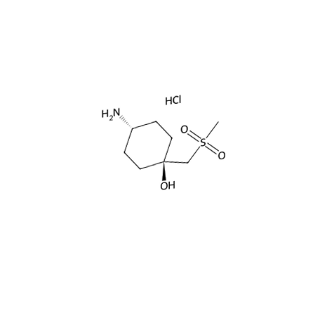 CS(=O)(=O)C[C@]1(O)CC[C@H](N)CC1.Cl